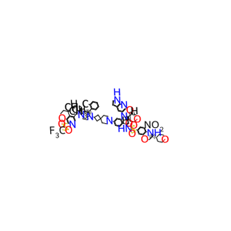 Cc1ccccc1[C@@H]1CN(C(C)c2cnc(S(=O)(=O)C(F)(F)F)c3c2C(C)(C)CCO3)CCN1C1CC2(CCN(c3ccc(C(=O)NS(=O)(=O)c4cc5c(c([N+](=O)[O-])c4)N[C@H](C4CCOCC4)CO5)c(N4c5cc6cc[nH]c6nc5O[C@H]5COCC[C@@H]54)c3)CC2)C1